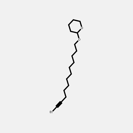 CCC#CCCCCCCCCCCOC1CCCCO1